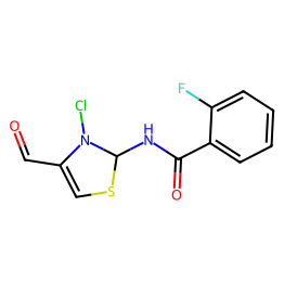 O=CC1=CSC(NC(=O)c2ccccc2F)N1Cl